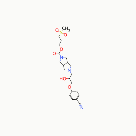 CS(=O)(=O)CCCOC(=O)N1CC2CN(C[C@H](O)COc3ccc(C#N)cc3)CC2C1